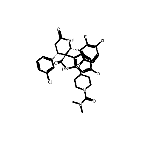 CN(C)C(=O)N1CCC(Oc2ccc(Cl)c(F)c2[C@H]2NC(=O)C[C@@H](c3cccc(Cl)c3)[C@]23C(=O)Nc2cc(Cl)ccc23)CC1